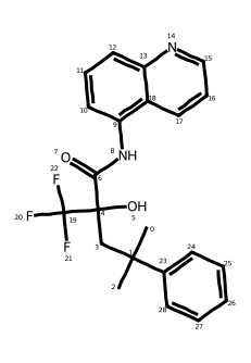 CC(C)(CC(O)(C(=O)Nc1cccc2ncccc12)C(F)(F)F)c1ccccc1